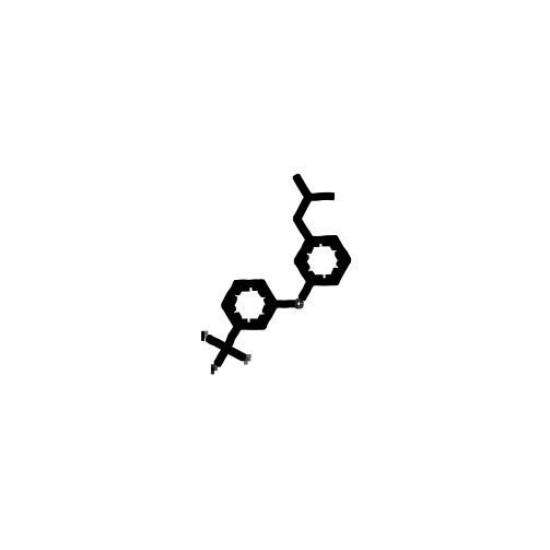 CC(C)Cc1cccc(Oc2cccc(C(F)(F)F)c2)c1